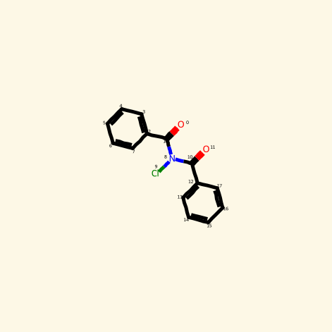 O=C(c1ccccc1)N(Cl)C(=O)c1ccccc1